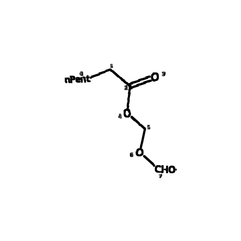 CCCCCCC(=O)OCO[C]=O